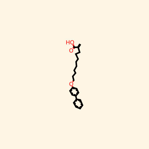 C=C(CCCCCCCCCOc1ccc(-c2ccccc2)cc1)C(=O)O